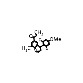 C=CC(=O)c1cc(C)c2nccc(-c3c(F)cc(OC)cc3F)c2c1